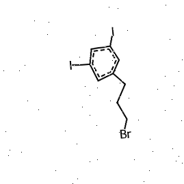 BrCCCc1cc(I)cc(I)c1